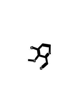 COc1c(Cl)ccnc1C=O